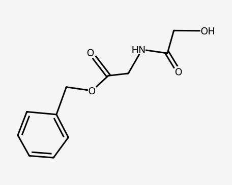 O=C(CO)NCC(=O)OCc1ccccc1